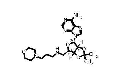 CC1(C)O[C@@H]2[C@H](O1)[C@@H](CNCCCN1CCOCC1)O[C@H]2n1cnc2c(N)ncnc21